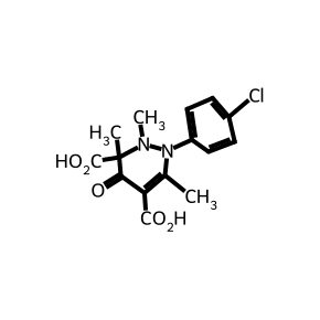 CC1=C(C(=O)O)C(=O)C(C)(C(=O)O)N(C)N1c1ccc(Cl)cc1